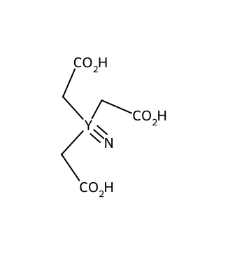 [N]#[Y]([CH2]C(=O)O)([CH2]C(=O)O)[CH2]C(=O)O